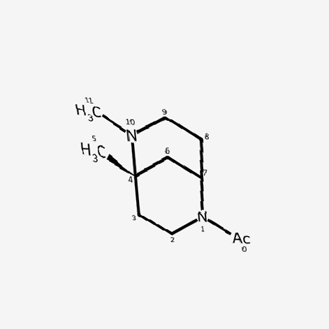 CC(=O)N1CC[C@@]2(C)CC1CCN2C